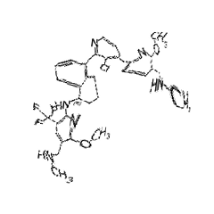 CNCc1ccc(-c2ccnc(-c3cccc4c3CCC[C@H]4Nc3nc(OC)c(CNC)cc3C(F)(F)F)c2Cl)nc1OC